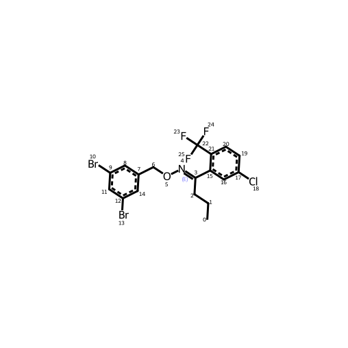 CCC/C(=N\OCc1cc(Br)cc(Br)c1)c1cc(Cl)ccc1C(F)(F)F